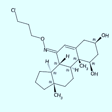 C[C@@]12CCC[C@H]1[C@@H]1C(=NOCCCCl)C=C3C[C@@H](O)C[C@@H](O)[C@]3(C)[C@H]1CC2